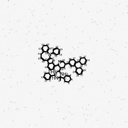 CC1(C2C=CCCC2)NC(C2=CC=CCC2)NC(C2CC(C3=CC(C4C=CC=CC4)=C(C4CC=CCC4)CC3)C=NC2C2=CC=CC3C4=C(SC23)N(c2ccccc2)C2=CCCC=C2C/C=C\4)N1